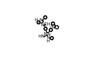 C=C(/N=C(\C=C(/N)c1ccccc1)c1ccccc1)c1ccc(-c2nc(C=N)c(Nc3ccccc3)nc2-c2ccc(-n3c4c(c5ccccc53)C=CCC4)cc2)cc1